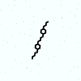 CCC/C=C/C1CCC(CCCCC2CCC(CCCC)CC2)CC1